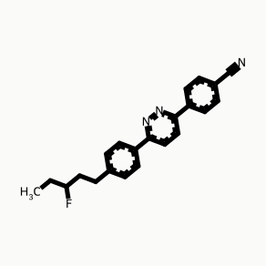 CCC(F)CCc1ccc(-c2ccc(-c3ccc(C#N)cc3)nn2)cc1